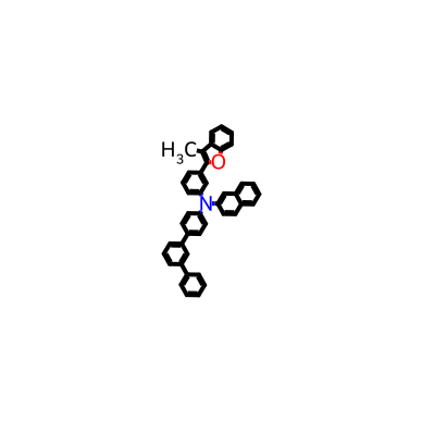 Cc1c(-c2cccc(N(c3ccc(-c4cccc(-c5ccccc5)c4)cc3)c3ccc4ccccc4c3)c2)oc2ccccc12